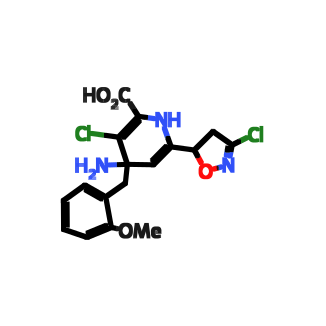 COc1ccccc1CC1(N)C=C(C2CC(Cl)=NO2)NC(C(=O)O)=C1Cl